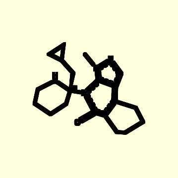 Cn1ncc2c3c(c(=O)n([C@]4(CC5CC5)CCCCN4)c21)CCCC3